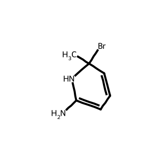 CC1(Br)C=CC=C(N)N1